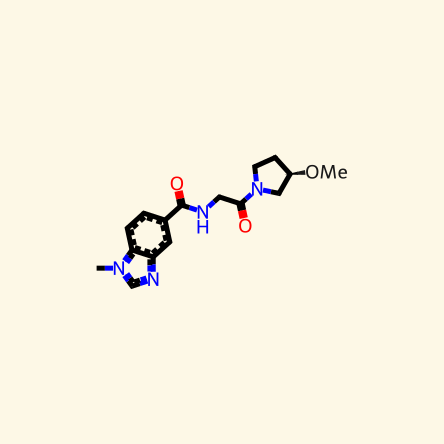 CO[C@@H]1CCN(C(=O)CNC(=O)c2ccc3c(c2)ncn3C)C1